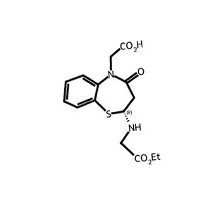 CCOC(=O)CN[C@H]1CC(=O)N(CC(=O)O)c2ccccc2S1